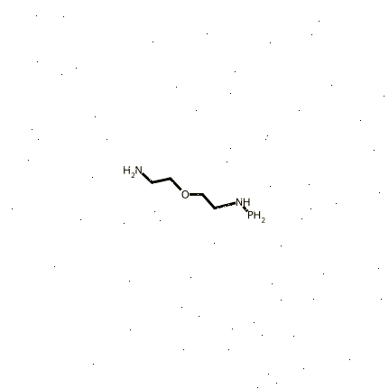 NCCOCCNP